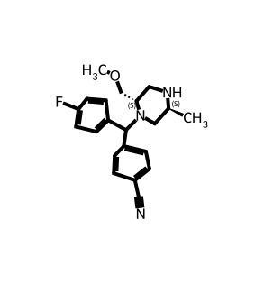 COC[C@@H]1CN[C@@H](C)CN1C(c1ccc(F)cc1)c1ccc(C#N)cc1